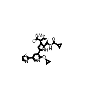 CNC(=O)c1cnc(NC(=O)C2CC2)c2[nH]c(-c3cc(-c4nccs4)cnc3OC3CC3)cc12